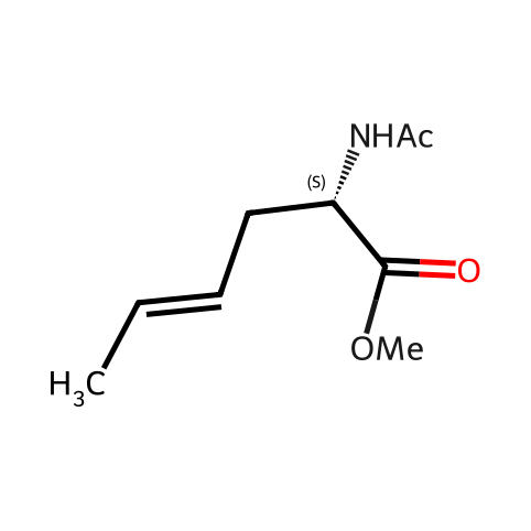 CC=CC[C@H](NC(C)=O)C(=O)OC